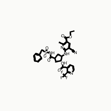 CCOC(=O)c1cc(C#N)c(NC2CCC(C(=O)NS(=O)(=O)Cc3ccccc3)C2)nc1C.O=C(O)c1cccnc1C(F)(F)F